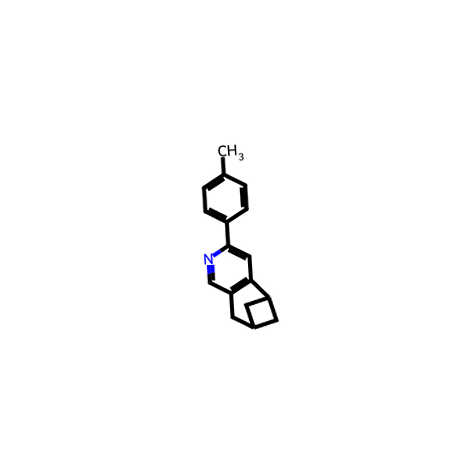 Cc1ccc(-c2cc3c(cn2)CC2CC3C2)cc1